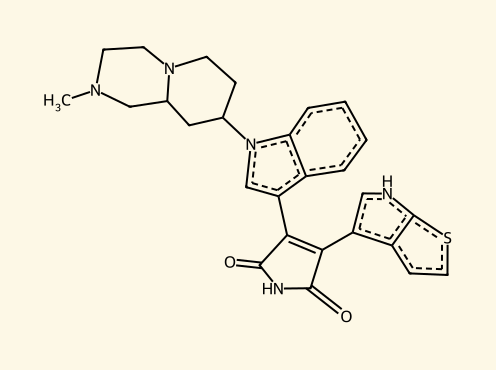 CN1CCN2CCC(n3cc(C4=C(c5c[nH]c6sccc56)C(=O)NC4=O)c4ccccc43)CC2C1